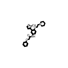 Cn1nccc1-c1cc(NC(=O)COc2ccccc2)ccc1OCCN1CCCCC1